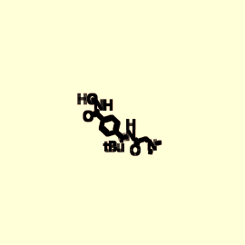 CN(C)CC(=O)N[C@H](c1ccc(C(=O)NO)cc1)C(C)(C)C